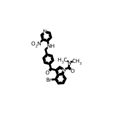 CN(C)C(=O)n1cc(C(=O)c2ccc(CNc3ccncc3[N+](=O)[O-])cc2)c2c(Br)cccc21